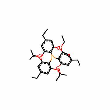 CCOc1cc(CC)cc(OCC)c1P(c1c(OCC)cc(CC)cc1OCC)c1c(OCC)cc(CC)cc1OCC